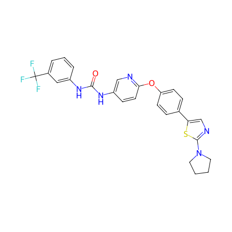 O=C(Nc1ccc(Oc2ccc(-c3cnc(N4CCCC4)s3)cc2)nc1)Nc1cccc(C(F)(F)F)c1